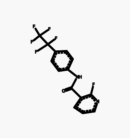 O=C(Nc1ccc(C(F)(F)C(F)(F)F)cc1)c1cccnc1F